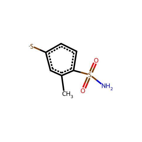 Cc1cc([S])ccc1S(N)(=O)=O